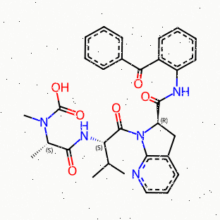 CC(C)[C@H](NC(=O)[C@H](C)N(C)C(=O)O)C(=O)N1c2ncccc2C[C@@H]1C(=O)Nc1ccccc1C(=O)c1ccccc1